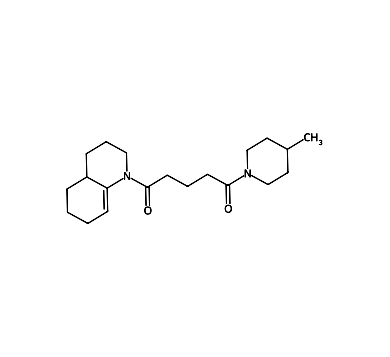 CC1CCN(C(=O)CCCC(=O)N2CCCC3CCCC=C32)CC1